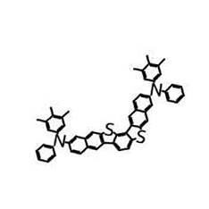 Cc1cc(N(c2ccccc2)c2ccc3cc4c(cc3c2)sc2c4ccc3sc4cc5cc(N(c6ccccc6)c6cc(C)c(C)c(C)c6)ccc5cc4c32)cc(C)c1C